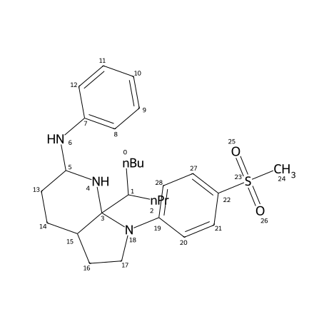 CCCCC(CCC)C12NC(Nc3ccccc3)CCC1CCN2c1ccc(S(C)(=O)=O)cc1